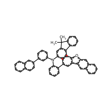 CC1(C)c2ccccc2-c2ccc(N(c3cccc(-c4ccc5ccccc5c4)c3)c3ccccc3-c3ccc4oc5cc6ccccc6cc5c4c3)cc21